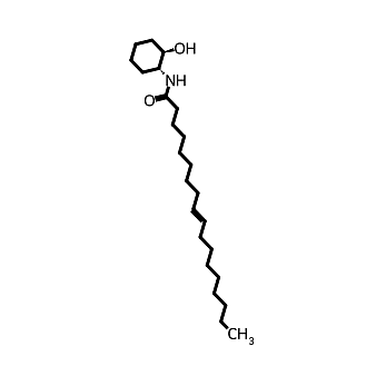 CCCCCCCCC=CCCCCCCCC(=O)N[C@@H]1CCCC[C@H]1O